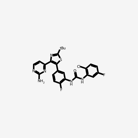 CC(C)(C)c1nc(-c2ccnc(N)n2)c(-c2ccc(F)c(NC(=O)Nc3cc(F)ccc3Cl)c2)s1